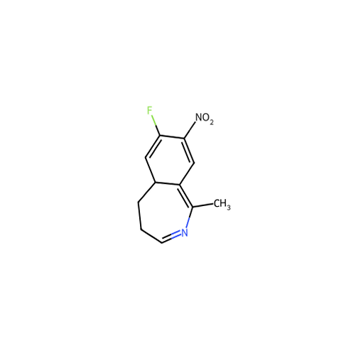 CC1=C2C=C([N+](=O)[O-])C(F)=CC2CCC=N1